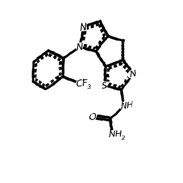 NC(=O)Nc1nc2c(s1)-c1c(cnn1-c1ccccc1C(F)(F)F)C2